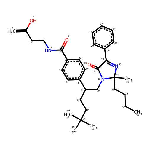 C=C(O)CCNC(=O)c1ccc(C(CCC(C)(C)C)CN2C(=O)C(c3ccccc3)=NC2(C)CCCC)cc1